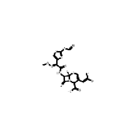 CON=C(C(=O)NC1C(=O)N2C(C(=O)O)C(C=C(Br)Br)=CS[C@@H]12)c1csc(NC=O)n1